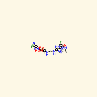 Cn1ncnc1[C@H]1c2n[nH]c(=O)c3cc(F)cc(c23)N[C@@H]1c1ccc(NCCCCCNc2ccc(S(=O)(=O)CC(C)(O)C(=O)Nc3ccc(C#N)c(C(F)(F)F)c3)cc2)cc1